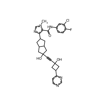 Cn1cnc(C2CC3CC(O)(C#CC4(O)CC(c5ccncn5)C4)CC3C2)c1C(=O)Nc1ccc(F)c(Cl)c1